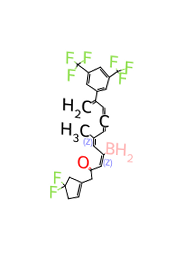 BC(/C=C(/C)C=C=CC(=C)c1cc(C(F)(F)F)cc(C(F)(F)F)c1)=C/C(=O)CC1=CCC(F)(F)C1